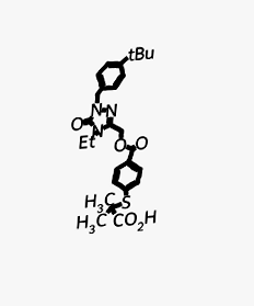 CCn1c(COC(=O)c2ccc(SC(C)(C)C(=O)O)cc2)nn(Cc2ccc(C(C)(C)C)cc2)c1=O